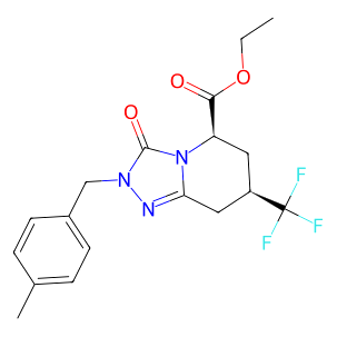 CCOC(=O)[C@H]1C[C@@H](C(F)(F)F)Cc2nn(Cc3ccc(C)cc3)c(=O)n21